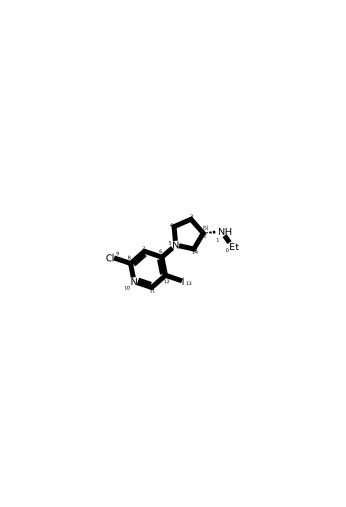 CCN[C@H]1CCN(c2cc(Cl)ncc2I)C1